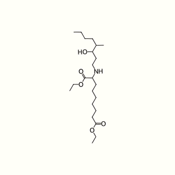 CCCCC(C)C(O)CCNC(CCCCCCC(=O)OCC)C(=O)OCC